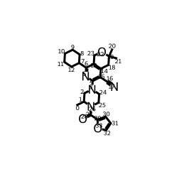 CC1CN(c2nc(C3CCCCC3)c3c(c2C#N)CC(C)(C)OC3)CCN1C(=O)c1ccco1